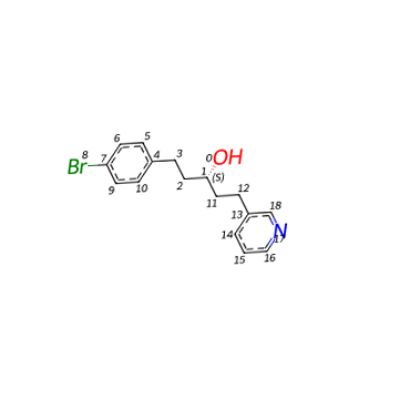 O[C@@H](CCc1ccc(Br)cc1)CCc1cccnc1